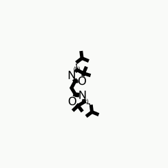 CC(C)C[C@H]1N=C(CC2=N[C@H](CC(C)C)C(C)(C)O2)OC1(C)C